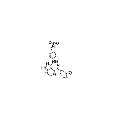 CS(=O)(=O)NCc1ccc(Nc2n[nH]c3ncnc(Nc4cccc(Cl)c4)c23)cc1